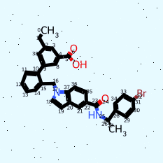 CCc1cc(C(=O)O)cc(-c2ccccc2Cn2ccc3cc(C(=O)N[C@H](C)c4ccc(Br)cc4)ccc32)c1